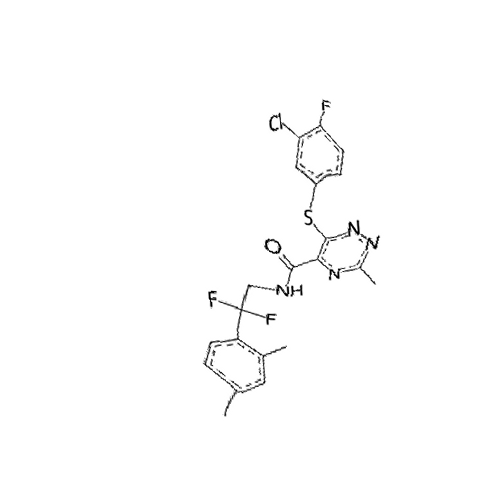 Cc1ccc(C(F)(F)CNC(=O)c2nc(C)nnc2Sc2ccc(F)c(Cl)c2)c(C)c1